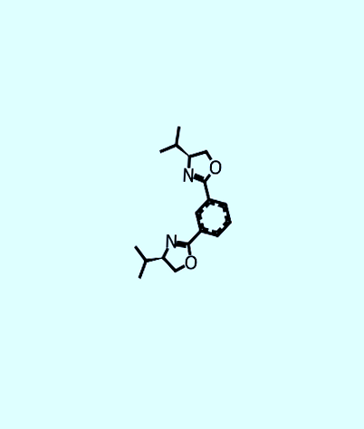 CC(C)[C@@H]1COC(c2cccc(C3=N[C@@H](C(C)C)CO3)c2)=N1